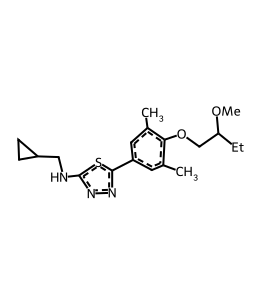 CCC(COc1c(C)cc(-c2nnc(NCC3CC3)s2)cc1C)OC